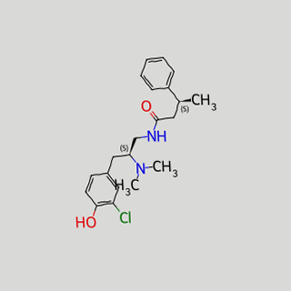 C[C@@H](CC(=O)NC[C@H](Cc1ccc(O)c(Cl)c1)N(C)C)c1ccccc1